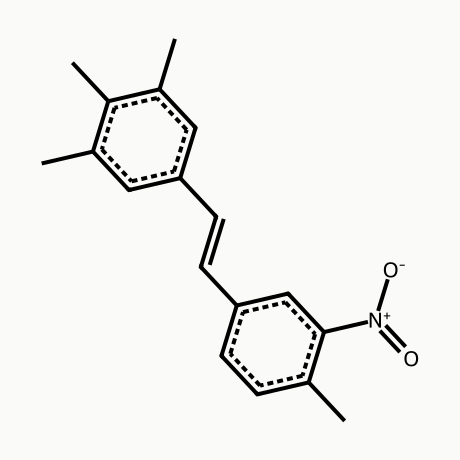 Cc1ccc(C=Cc2cc(C)c(C)c(C)c2)cc1[N+](=O)[O-]